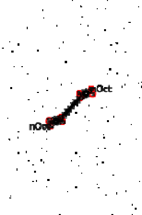 CCCCCCCCOC(=O)c1ccc(C(=O)OCCCCCCCCCCCCOC(=O)c2ccc(C(=O)OCCCCCCCC)cc2)cc1